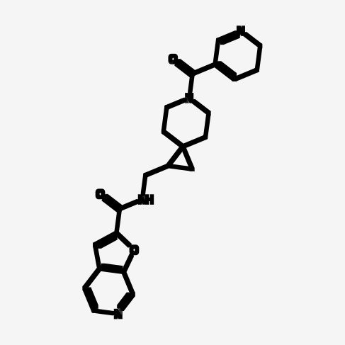 O=C(NCC1CC12CCN(C(=O)C1=CCCN=C1)CC2)c1cc2ccncc2o1